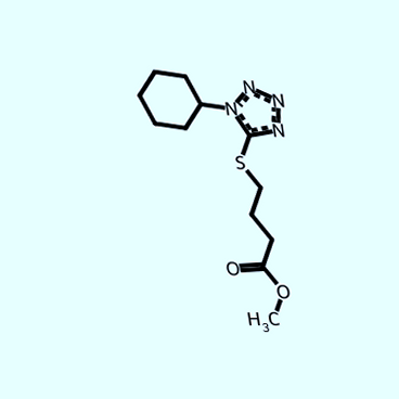 COC(=O)CCCSc1nnnn1C1CCCCC1